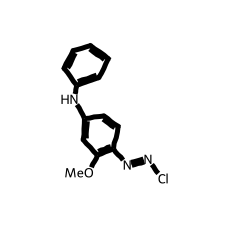 COc1cc(Nc2ccccc2)ccc1N=NCl